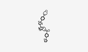 O=C(c1ccc(-c2cccs2)cc1)N1CCn2c(nnc2-c2csc(-c3ccc(N4CCOCC4)cc3)n2)C1